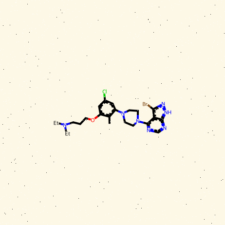 CCN(CC)CCCOc1cc(Cl)cc(N2CCN(c3ncnc4[nH]nc(Br)c34)CC2)c1C